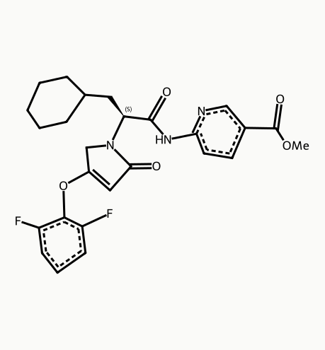 COC(=O)c1ccc(NC(=O)[C@H](CC2CCCCC2)N2CC(Oc3c(F)cccc3F)=CC2=O)nc1